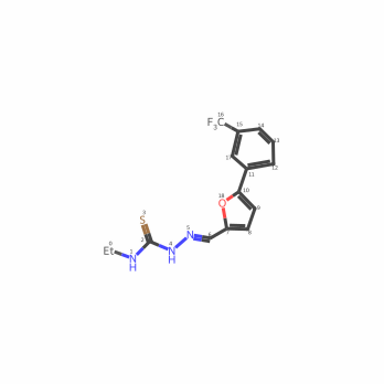 CCNC(=S)NN=Cc1ccc(-c2cccc(C(F)(F)F)c2)o1